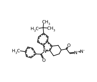 Cc1ccc(C(=O)n2c3c(c4cc(C(C)(C)C)ccc42)CC(C(=O)C=[N+]=[N-])CC3)cc1